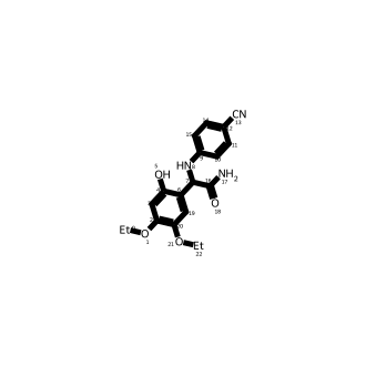 CCOc1cc(O)c(C(Nc2ccc(C#N)cc2)C(N)=O)cc1OCC